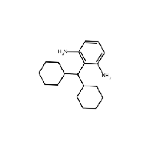 Nc1cccc(N)c1C(C1CCCCC1)C1CCCCC1